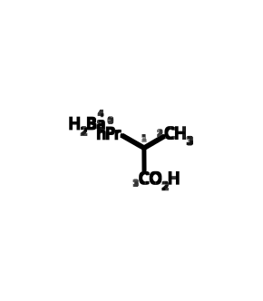 CCCC(C)C(=O)O.[BaH2]